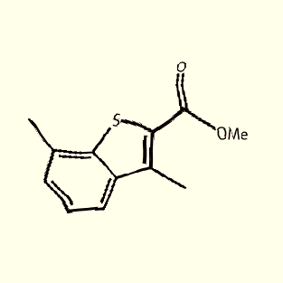 COC(=O)c1sc2c(C)cccc2c1C